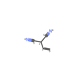 C=CC(C#N)C#N